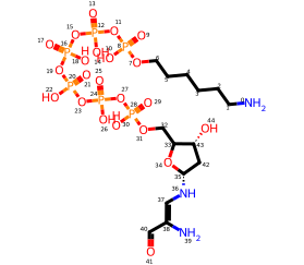 NCCCCCCOP(=O)(O)OP(=O)(O)OP(=O)(O)OP(=O)(O)OP(=O)(O)OP(=O)(O)OCC1O[C@@H](N/C=C(\N)C=O)C[C@H]1O